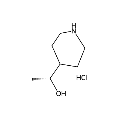 C[C@@H](O)C1CCNCC1.Cl